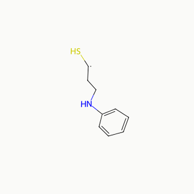 S[CH]CCNc1ccccc1